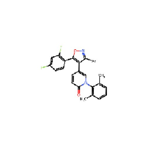 CC(=O)c1noc(-c2ccc(F)cc2F)c1-c1ccc(=O)n(-c2c(C)cccc2C)c1